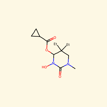 CCC1(CC)CN(C)C(=O)N(O)C1OC(=O)C1CC1